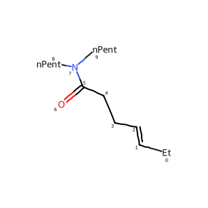 CC/C=C/CCC(=O)N(CCCCC)CCCCC